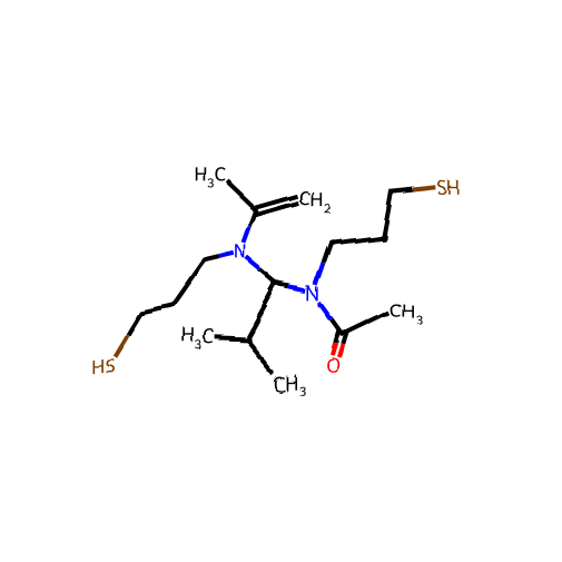 C=C(C)N(CCCS)C(C(C)C)N(CCCS)C(C)=O